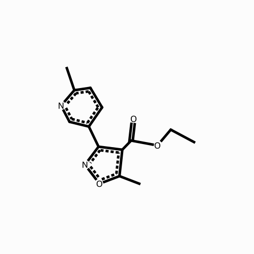 CCOC(=O)c1c(-c2ccc(C)nc2)noc1C